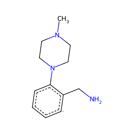 CN1CCN(c2ccc[c]c2CN)CC1